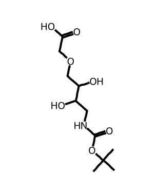 CC(C)(C)OC(=O)NCC(O)C(O)COCC(=O)O